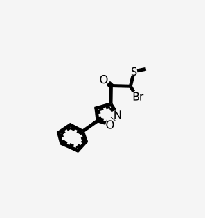 CSC(Br)C(=O)c1cc(-c2ccccc2)on1